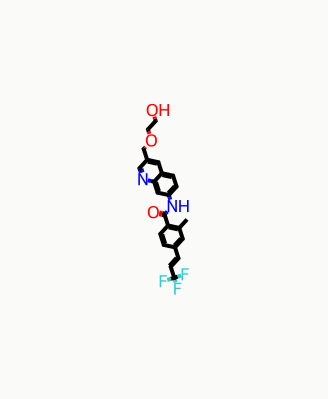 Cc1cc(C=CC(F)(F)F)ccc1C(=O)Nc1ccc2cc(COCCO)cnc2c1